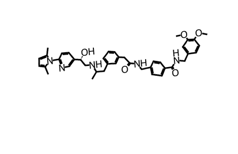 COc1ccc(CNC(=O)c2ccc(CNC(=O)Cc3cccc(CC(C)NC[C@@H](O)c4ccc(-n5c(C)ccc5C)nc4)c3)cc2)cc1OC